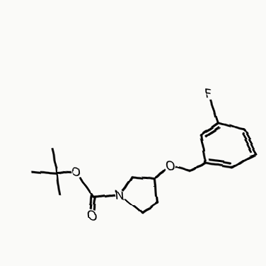 CC(C)(C)OC(=O)N1CCC(OCc2cccc(F)c2)C1